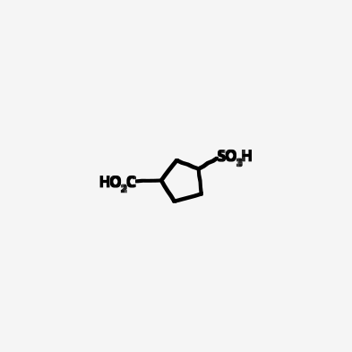 O=C(O)C1CCC(S(=O)(=O)O)C1